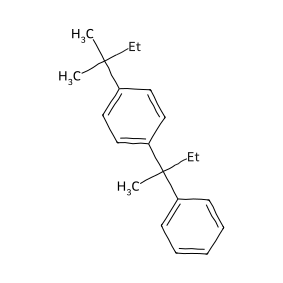 CCC(C)(C)c1ccc(C(C)(CC)c2ccccc2)cc1